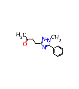 CC(=O)CCc1nc(-c2ccccc2)n(C)n1